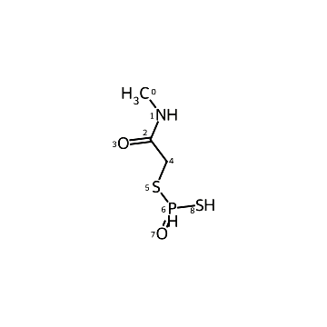 CNC(=O)CS[PH](=O)S